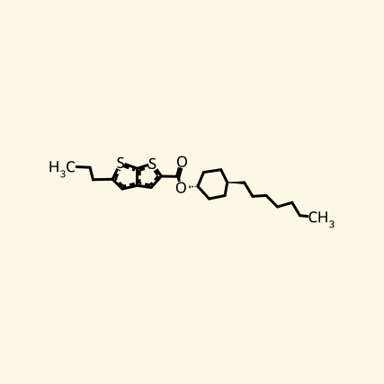 CCCCCCC[C@H]1CC[C@H](OC(=O)c2cc3cc(CCC)sc3s2)CC1